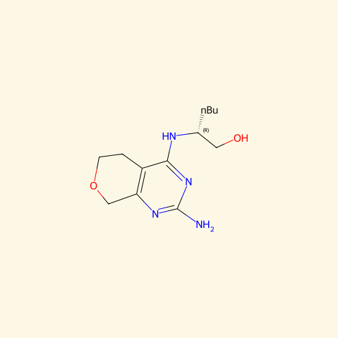 CCCC[C@H](CO)Nc1nc(N)nc2c1CCOC2